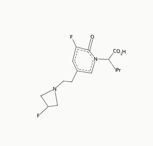 CC(C)C(C(=O)O)n1cc(CCN2CC(F)C2)cc(F)c1=O